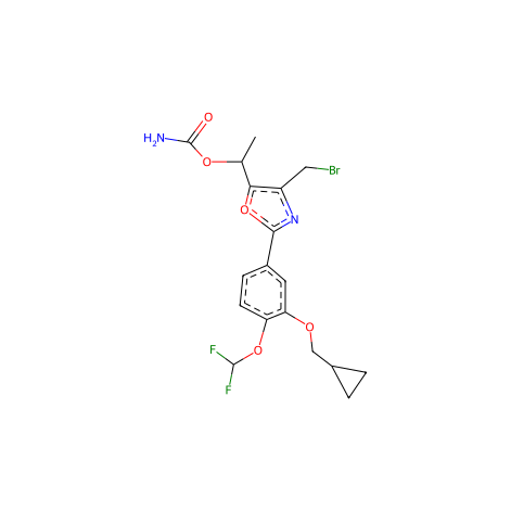 CC(OC(N)=O)c1oc(-c2ccc(OC(F)F)c(OCC3CC3)c2)nc1CBr